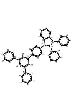 c1ccc(B2N(c3ccccc3)c3ccccc3N2c2ccc(-c3nc(-c4ccccc4)nc(-c4ccccc4)n3)cc2)cc1